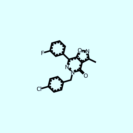 Cc1noc2c(-c3cccc(F)c3)nn(Cc3ccc(Cl)cc3)c(=O)c12